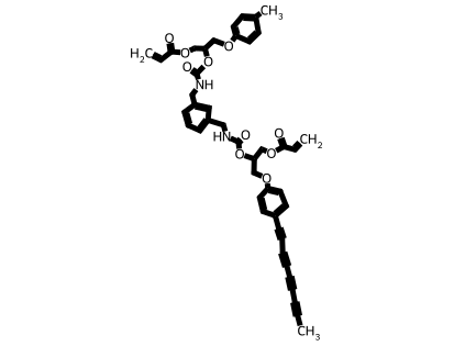 C=CC(=O)OCC(COc1ccc(C)cc1)OC(=O)NCc1cccc(CNC(=O)OC(COC(=O)C=C)COc2ccc(C#CC#CC#CC#CC)cc2)c1